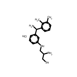 Cc1cccc(C(N)c2cccc(NCC(N)CS)c2)c1C.Cl